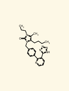 CCCCc1c(C)n(CCC)c(=O)n1Cc1ccc(-c2ncccc2-c2nnn[nH]2)cc1